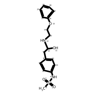 CS(=O)(=O)Nc1ccc(CC(O)NCCOc2ccccc2)cc1